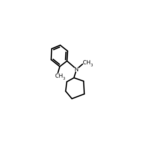 Cc1ccccc1N(C)C1CCCCC1